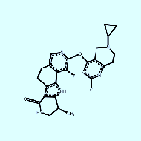 C[C@H]1CNC(=O)c2c1[nH]c1c2CCc2cnc(Oc3nc(Cl)nc4c3CN(C3CC3)CC4)c(F)c2-1